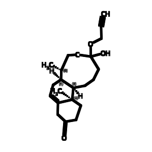 C#CCOC1(O)CCC[C@@H]2[C@@H](CC=C3CC(=O)CC[C@@]32C)[C@H](C)CC1